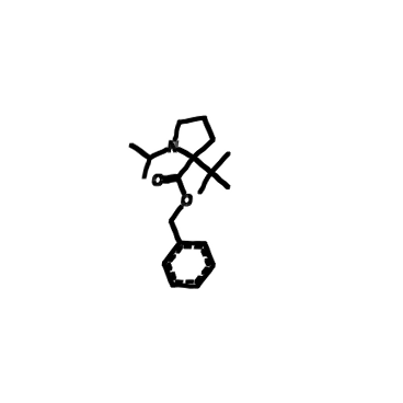 CC(C)N1CCCC1(C(=O)OCc1ccccc1)C(C)(C)C